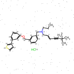 CCCN(CC=CC#CC(C)(C)C)Cc1cccc(COc2cccc(-c3ccsc3)c2)c1.Cl